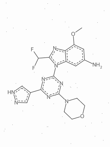 COc1cc(N)cc2c1nc(C(F)F)n2-c1nc(-c2cn[nH]c2)nc(N2CCOCC2)n1